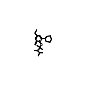 C=C1C=C(CC)C=C(C2CCCCC2)N1OC(C)(C)N(C)C(C)C